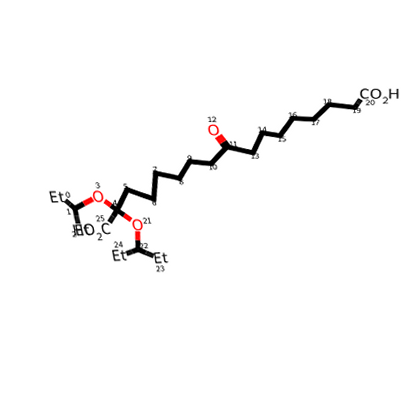 CCC(CC)OC(CCCCCCC(=O)CCCCCCCC(=O)O)(OC(CC)CC)C(=O)O